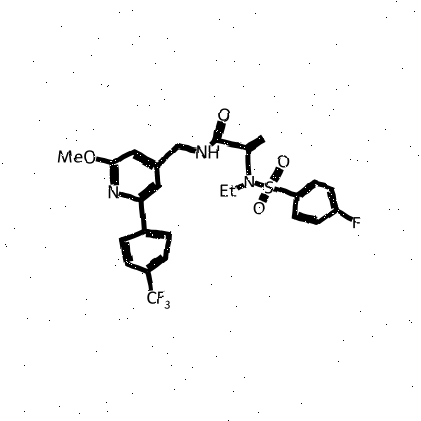 C=C(C(=O)NCc1cc(OC)nc(-c2ccc(C(F)(F)F)cc2)c1)N(CC)S(=O)(=O)c1ccc(F)cc1